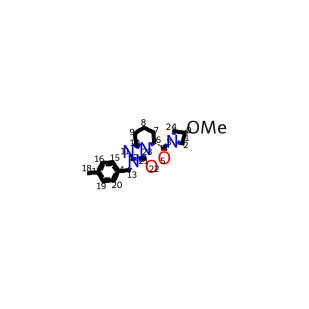 COC1CN(C(=O)[C@H]2CCCc3nn(Cc4ccc(C)cc4)c(=O)n32)C1